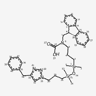 C[Si](C)(CCCN(CC1c2ccccc2-c2ccccc21)C(=O)O)O[Si](C)(C)CCCn1cc(Cc2ccccc2)nn1